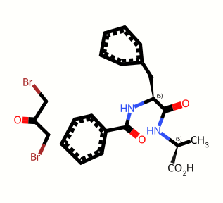 C[C@H](NC(=O)[C@H](Cc1ccccc1)NC(=O)c1ccccc1)C(=O)O.O=C(CBr)CBr